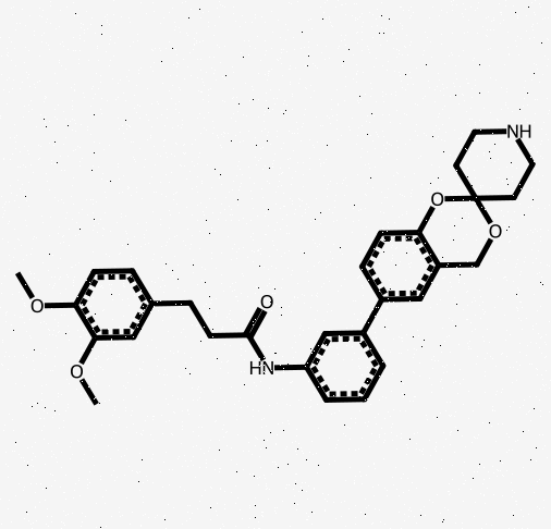 COc1ccc(CCC(=O)Nc2cccc(-c3ccc4c(c3)COC3(CCNCC3)O4)c2)cc1OC